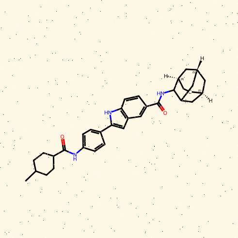 CC1CCC(C(=O)Nc2ccc(-c3cc4cc(C(=O)NC5C6C[C@H]7CC[C@@H]5C[C@@H](C6)C7)ccc4[nH]3)cc2)CC1